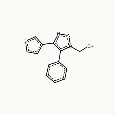 OCn1nnc(-c2ccsc2)c1-c1ccccc1